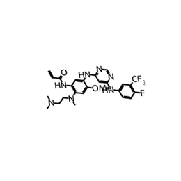 C=CC(=O)Nc1cc(Nc2cc(Nc3ccc(F)c(C(F)(F)F)c3)ncn2)c(OC)cc1N(C)CCN(C)C